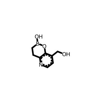 OCc1ccnc2c1OB(O)CC2